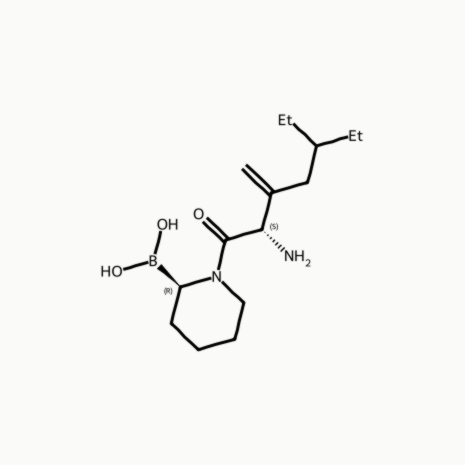 C=C(CC(CC)CC)[C@H](N)C(=O)N1CCCC[C@H]1B(O)O